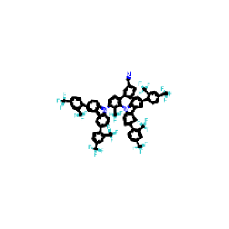 N#Cc1cccc(-c2ccc(-n3c4ccc(-c5ccc(C(F)(F)F)cc5C(F)(F)F)cc4c4cc(-c5ccc(C(F)(F)F)cc5C(F)(F)F)ccc43)c(C(F)(F)F)c2-n2c3ccc(-c4ccc(C(F)(F)F)cc4C(F)(F)F)cc3c3cc(-c4ccc(C(F)(F)F)cc4C(F)(F)F)ccc32)c1